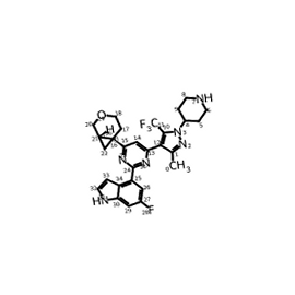 Cc1nn(C2CCNCC2)c(C(F)(F)F)c1-c1cc([C@]23CCOC[C@H]2C3)nc(-c2cc(F)cc3[nH]ccc23)n1